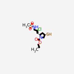 C=CCOC(=O)N1C[C@@H](S)C[C@H]1C=C(Cl)CNS(C)(=O)=O